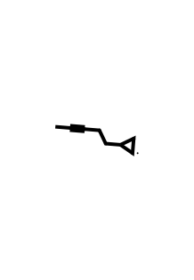 CC#CCCC1[CH]C1